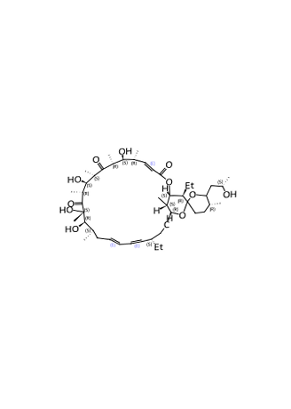 CC[C@@H]1/C=C/C=C/C[C@H](C)[C@@H](O)[C@](C)(O)C(=O)[C@H](C)[C@@H](O)[C@H](C)C(=O)[C@H](C)[C@@H](O)[C@H](C)/C=C/C(=O)O[C@H]2[C@@H](C)[C@@H](CC1)OC1(CC[C@@H](C)C(C[C@H](C)O)O1)[C@@H]2CC